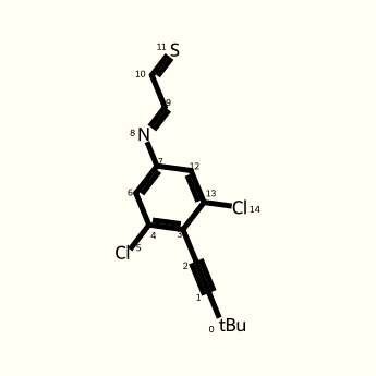 CC(C)(C)C#Cc1c(Cl)cc(N=CC=S)cc1Cl